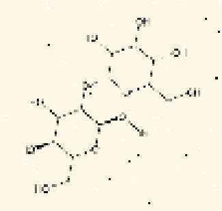 CC(C)O[C@H]1OC(CO)[C@@H](O)C(O)C1O[C@H]1OC(CO)[C@@H](O)C(O)C1O